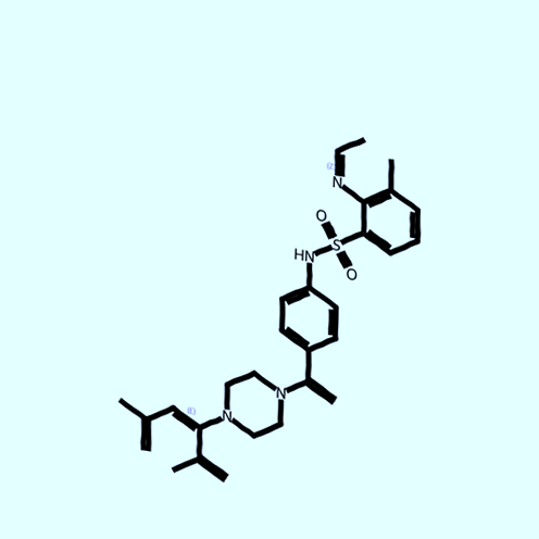 C=C(C)/C=C(\C(=C)C)N1CCN(C(=C)c2ccc(NS(=O)(=O)c3cccc(C)c3/N=C\C)cc2)CC1